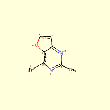 Cc1nc(C(C)C)c2occc2n1